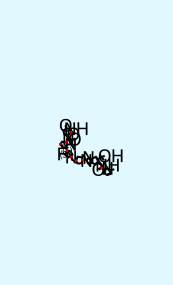 Cc1cccc(C(=O)Nc2cc3cn([C@H]4CC[C@H](CN5CC[C@@H](c6cccc7c6n(C)c(=O)n7C6CCC(=O)NC6=O)[C@H](F)C5)CC4)nc3cc2C(C)(C)O)n1